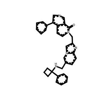 O=c1c2cncc(-c3ccccc3)c2ccn1Cc1cn2cc(CNC3(c4ccccc4)CCC3)ccc2n1